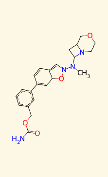 CN(C1CC2COCCN21)N1C=C2C=CC(c3cccc(COC(N)=O)c3)=CC2O1